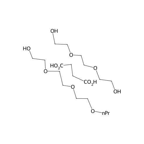 CCCOCCOCCOCCO.O=C(O)CCC(=O)O.OCCOCCOCCO